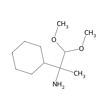 COC(OC)C(C)(N)C1CCCCC1